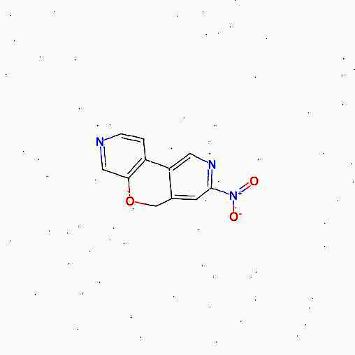 O=[N+]([O-])c1cc2c(cn1)-c1ccncc1OC2